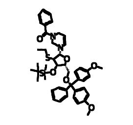 CCS[C@@H]1[C@H](O[Si](C)(C)C(C)(C)C)[C@@H](COC(c2ccccc2)(c2ccc(OC)cc2)c2ccc(OC)cc2)O[C@H]1N1C=CCN(C(=O)c2ccccc2)C1